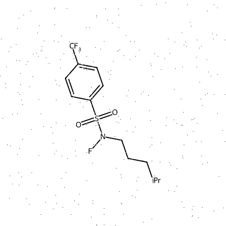 CC(C)CCCN(F)S(=O)(=O)c1ccc(C(F)(F)F)cc1